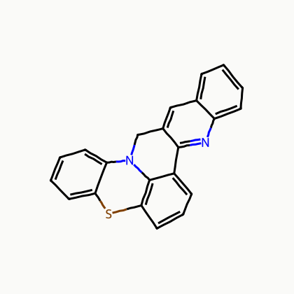 c1ccc2c(c1)Sc1cccc3c1N2Cc1cc2ccccc2nc1-3